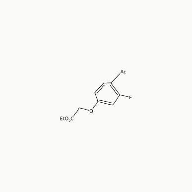 CCOC(=O)COc1ccc(C(C)=O)c(F)c1